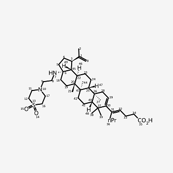 C=C(C)[C@@H]1CC[C@]2(NCCN3CCS(=O)(=O)CC3)CC[C@]3(C)[C@H](CC[C@@H]4[C@@]5(C)CC=C(/C(=C/CCC(=O)O)CCC)C(C)(C)[C@@H]5CC[C@]43C)[C@@H]12